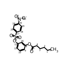 CCCCCC(=O)Oc1cccc(OS(=O)(=O)c2ccc([N+](=O)[O-])cc2)c1